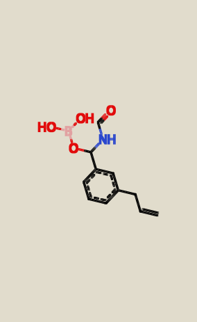 C=CCc1cccc(C(NC=O)OB(O)O)c1